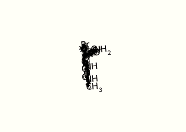 CCCCNC(=O)COCC(=O)Nc1ccc(Cc2cc(-c3ccc(Br)cc3)n(-c3ccc(S(N)(=O)=O)cc3)n2)cc1